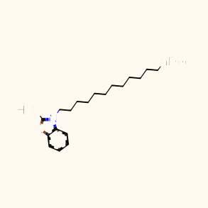 CCCCCCCCCCCCCCCCCCCCCC[n+]1c(C)sc2ccccc21